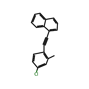 Cc1cc(Cl)ccc1C#Cc1cccc2ccccc12